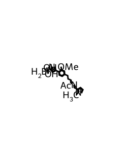 BC(O)(O)n1cc(-c2ccc(CC/C=C(/N=C/c3cccn3C)C(C)=O)cc2OC)cn1